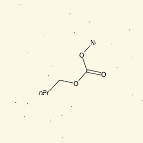 CCCCOC(=O)O[N]